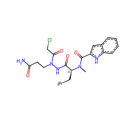 CC(C)C[C@@H](C(=O)NN(CCC(N)=O)C(=O)CCl)N(C)C(=O)c1cc2ccccc2[nH]1